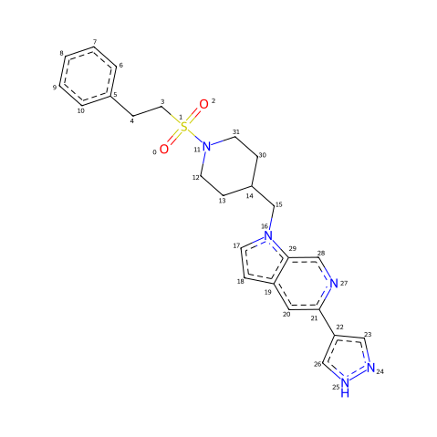 O=S(=O)(CCc1ccccc1)N1CCC(Cn2ccc3cc(-c4cn[nH]c4)ncc32)CC1